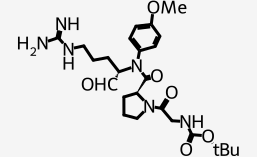 COc1ccc(N(C(=O)[C@@H]2CCCN2C(=O)CNC(=O)OC(C)(C)C)[C@H](C=O)CCCNC(=N)N)cc1